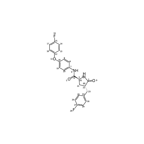 O=C1N[C@H](C(=O)Nc2ccc(Oc3ccc(F)cc3)cc2)C[C@H]1Cc1ccc(F)cc1